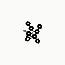 CC(C)(C)c1cc2c3c(c1)C1(C)CCCCC1(C)N3c1cc(-c3ccccc3)cc3c1B2N(c1ccc(-c2ccccc2)cc1)c1cc(-c2ccccc2)ccc1-3